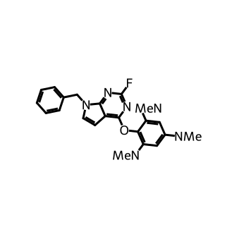 CNc1cc(NC)c(Oc2nc(F)nc3c2ccn3Cc2ccccc2)c(NC)c1